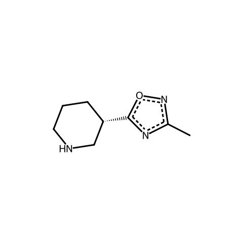 Cc1noc([C@H]2CCCNC2)n1